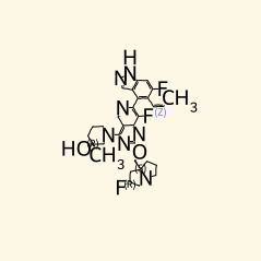 C/C=C\c1c(F)cc2[nH]ncc2c1-c1ncc2c(N3CCC[C@@](C)(O)C3)nc(OC[C@@]34CCCN3C[C@H](F)C4)nc2c1F